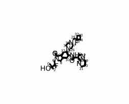 CC(C)(O)[C@H](F)CN1Cc2cc(NC(=O)c3cnn4cccnc34)c(N3CCN(CC4(F)CCC4)CC3)cc2C1=O